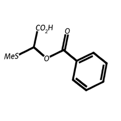 CSC(OC(=O)c1ccccc1)C(=O)O